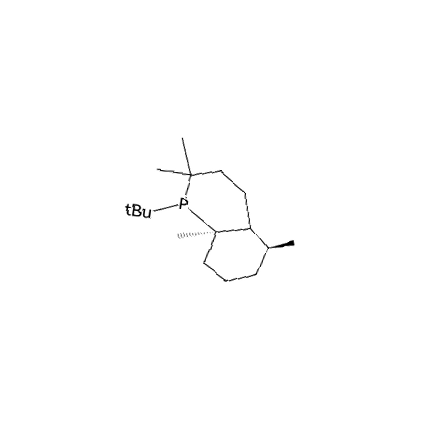 C[C@H]1CCC[C@]2(C)C1CCC(C)(C)P2C(C)(C)C